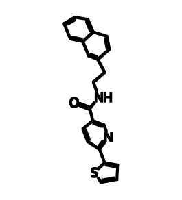 O=C(NCCc1ccc2ccccc2c1)c1ccc(-c2cccs2)nc1